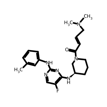 Cc1cccc(Nc2ncc(F)c(N[C@@H]3CCCN(C(=O)/C=C/CN(C)C)C3)n2)c1